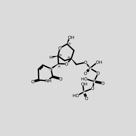 O=c1ccn([C@@H]2O[C@@]3(COP(=O)(O)OP(=O)(O)OP(=O)(O)O)C[C@H](O)O[C@@H]2C3)c(=O)[nH]1